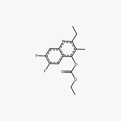 CCOC(=O)Oc1c(C)c(CC)nc2cc(F)c(F)cc12